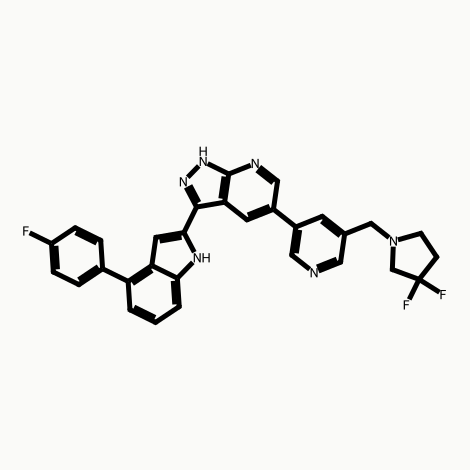 Fc1ccc(-c2cccc3[nH]c(-c4n[nH]c5ncc(-c6cncc(CN7CCC(F)(F)C7)c6)cc45)cc23)cc1